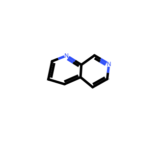 [c]1cc2cccnc2cn1